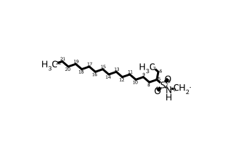 [CH2]NS(=O)(=O)C(CC)CCCCCCCCCCCCCCC